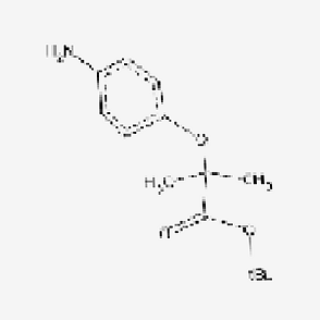 CC(C)(C)OC(=O)C(C)(C)Oc1ccc(N)cc1